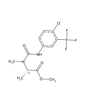 COC(=O)[C@H](C)N(C)C(=O)Nc1ccc(Cl)c(C(F)(F)F)c1